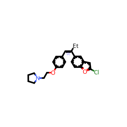 CC/C(=C/c1ccc(OCCN2CCCC2)cc1)c1ccc2oc(Cl)cc2c1